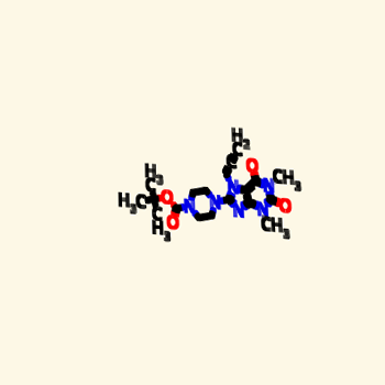 C=C=Cn1c(N2CCN(C(=O)OC(C)(C)C)CC2)nc2c1c(=O)n(C)c(=O)n2C